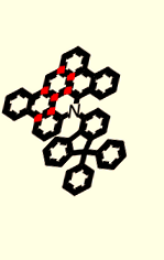 c1ccc(-c2ccccc2N(c2cccc3c2-c2ccccc2C3(c2ccccc2)c2ccccc2)c2c(-c3ccc4ccccc4c3)c3ccccc3c3ccccc23)cc1